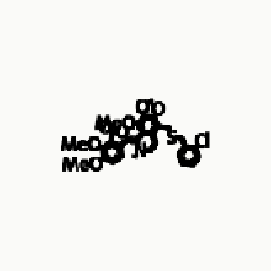 COc1ccc2c(c1OC)C(=O)O[C@@H]2[C@H]1c2c(c(CSCc3ccccc3Cl)c3c(c2OC)OCO3)CCN1C